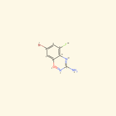 Nc1n[o+]c2cc(Br)cc(F)c2n1